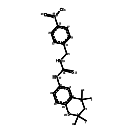 CC1(C)CC(C)(C)c2cc(NC(=S)NCc3ccc([N+](=O)[O-])cc3)ccc2S1